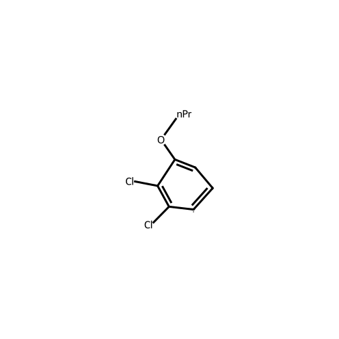 CCCOc1cc[c]c(Cl)c1Cl